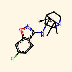 CC1(C)[C@H](Nc2noc3cc(Cl)ccc23)C2CCN1CC2